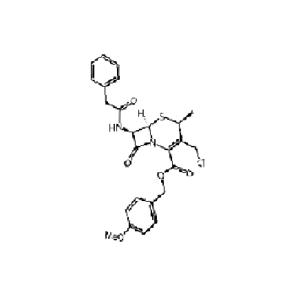 COc1ccc(COC(=O)C2=C(CCl)[C@H](C)S[C@@H]3[C@H](NC(=O)Cc4ccccc4)C(=O)N23)cc1